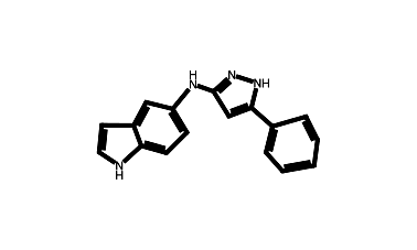 c1ccc(-c2cc(Nc3ccc4[nH]ccc4c3)n[nH]2)cc1